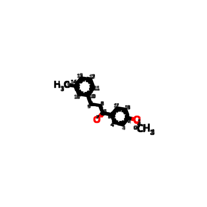 COc1ccc(C(=O)CCc2cccc(C)c2)cc1